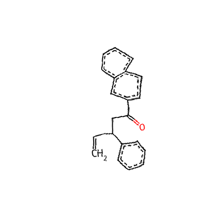 C=CC(CC(=O)c1ccc2ccccc2c1)c1ccccc1